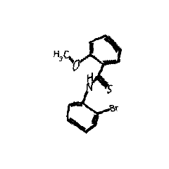 COc1ccccc1C(=S)Nc1ccccc1Br